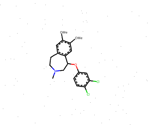 COc1cc2c(cc1OC)C(Oc1ccc(Cl)c(Cl)c1)CN(C)CC2